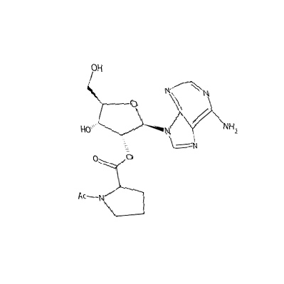 CC(=O)N1CCCC1C(=O)O[C@@H]1[C@H](O)[C@@H](CO)O[C@H]1n1cnc2c(N)ncnc21